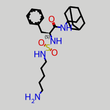 NCCCCCNS(=O)(=O)N[C@@H](Cc1ccccc1)C(=O)NC12CC3CC(CC(C3)C1)C2